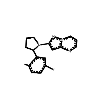 Fc1ccc(F)c(C2CCCN2c2cc3ncccn3n2)c1